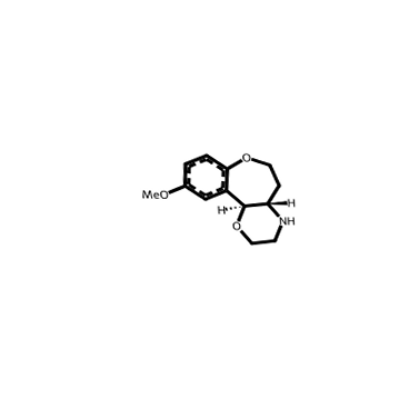 COc1ccc2c(c1)[C@@H]1OCCN[C@H]1CCO2